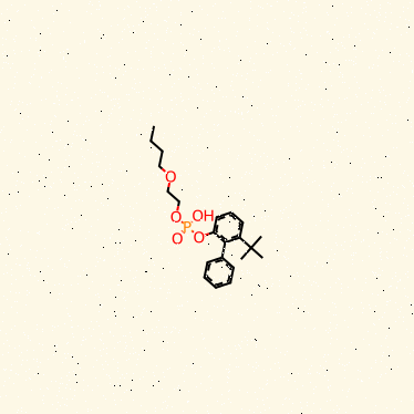 CCCCOCCOP(=O)(O)Oc1cccc(C(C)(C)C)c1-c1ccccc1